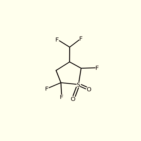 O=S1(=O)C(F)C(C(F)F)CC1(F)F